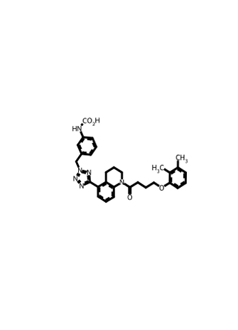 Cc1cccc(OCCCC(=O)N2CCCc3c(-c4nnn(Cc5cccc(NC(=O)O)c5)n4)cccc32)c1C